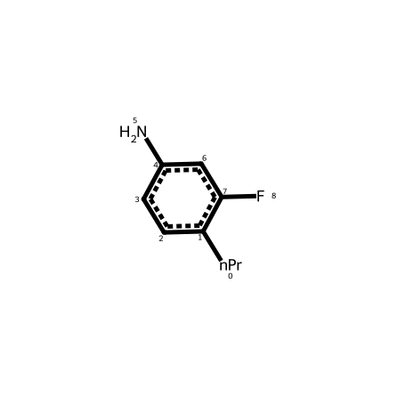 CCCc1ccc(N)cc1F